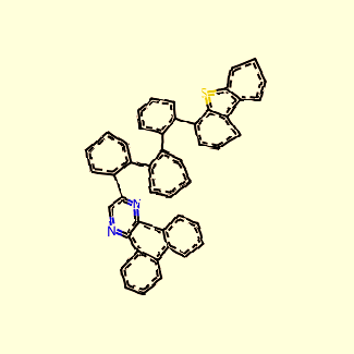 c1ccc(-c2ccccc2-c2ccccc2-c2cccc3c2sc2ccccc23)c(-c2cnc3c4ccccc4c4ccccc4c3n2)c1